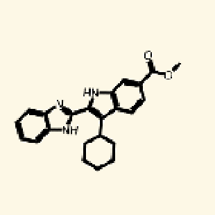 COC(=O)c1ccc2c(C3CCCCC3)c(-c3nc4ccccc4[nH]3)[nH]c2c1